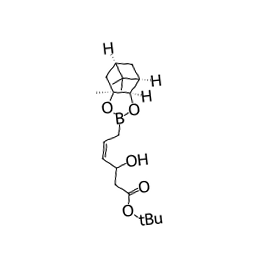 CC(C)(C)OC(=O)CC(O)/C=C\CB1O[C@@H]2[C@@H]3C[C@H](C[C@]2(C)O1)C3(C)C